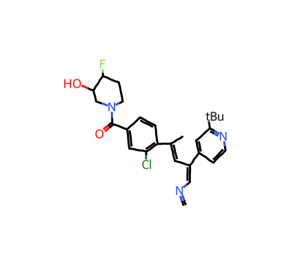 C=N/C=C(\C=C(/C)c1ccc(C(=O)N2CCC(F)C(O)C2)cc1Cl)c1ccnc(C(C)(C)C)c1